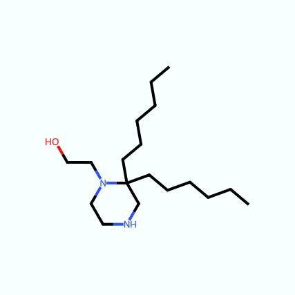 CCCCCCC1(CCCCCC)CNCCN1CCO